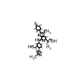 Cc1ncn(-c2ccc(Nc3nc(C(C)CO)cc4c3nc(-c3ccc(F)cc3)n4C)cc2CO)n1